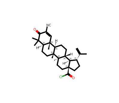 [C-]#[N+]C1=C[C@]2(C)[C@H]3CC[C@@H]4[C@H]5[C@H](C(=C)C)CC[C@]5(C(=O)Cl)CC[C@@]4(C)[C@]3(C)CC[C@H]2C(C)(C)C1=O